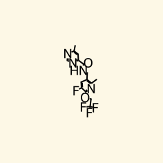 Cc1cc(C(=O)NCc2cc(F)c(OCC(F)(F)F)nc2C)ncn1